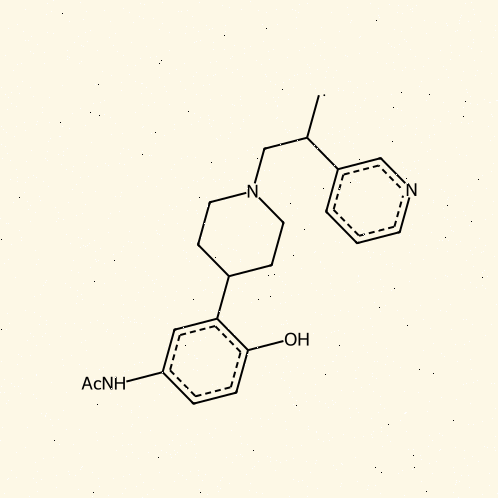 [CH2]C(CN1CCC(c2cc(NC(C)=O)ccc2O)CC1)c1cccnc1